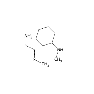 CNC1CCCCC1.CSCCN